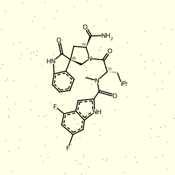 CC(C)C[C@@H](C(=O)N1C[C@]2(C[C@H]1C(N)=O)C(=O)Nc1ccccc12)N(C)C(=O)c1cc2c(F)cc(F)cc2[nH]1